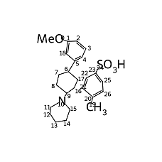 COc1cccc(C2CCC(N3CCCCC3)CC2)c1.Cc1ccc(S(=O)(=O)O)cc1